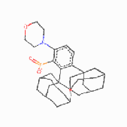 O=P(=O)c1c(N2CCOCC2)ccc(C23CC4CC(CC(C4)C2)C3)c1C12CC3CC(CC(C3)C1)C2